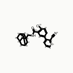 N#Cc1ncccc1-c1ccc(Cl)c(C(=O)NCC23CC4CC(CC(C4)C2)C3)c1